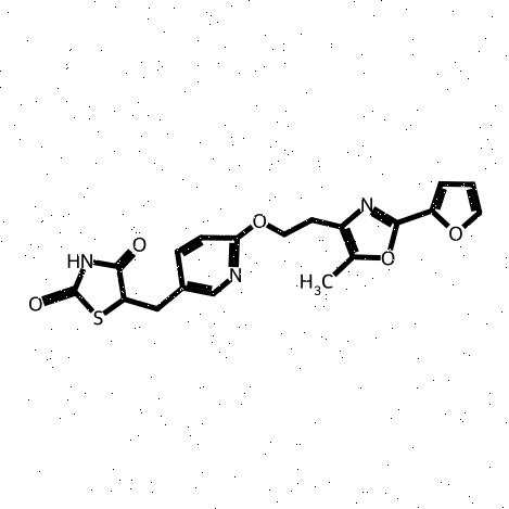 Cc1oc(-c2ccco2)nc1CCOc1ccc(CC2SC(=O)NC2=O)cn1